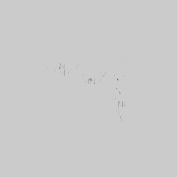 COSNc1ccc(C(=O)Nc2cccc(SNC(C)(C)C)c2)c(N2CCC3(CC2)CC3)n1